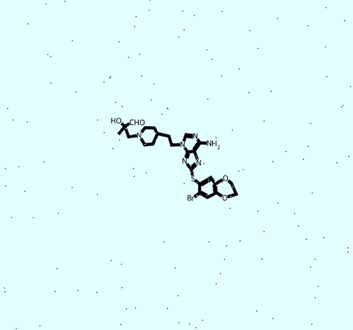 CC(O)(C=O)CN1CCC(CCn2cnc(N)c3nc(Sc4cc5c(cc4Br)OCCO5)nc2-3)CC1